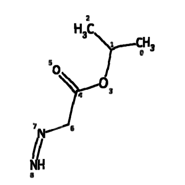 CC(C)OC(=O)CN=N